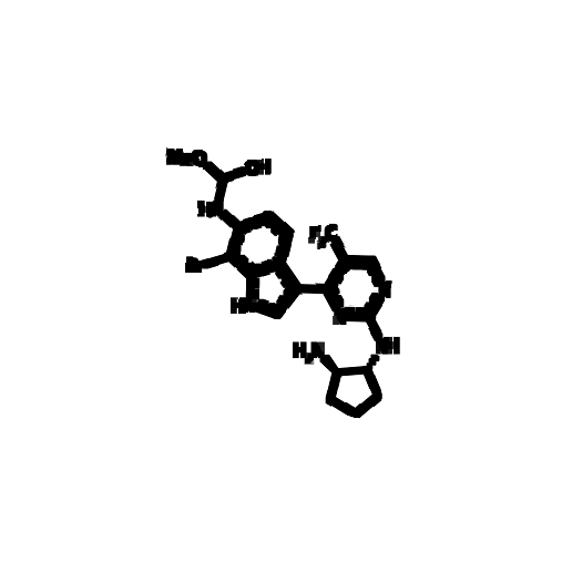 COC(O)Nc1ccc2c(-c3nc(N[C@@H]4CCC[C@H]4N)ncc3C(F)(F)F)c[nH]c2c1Br